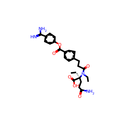 CCN(C(=O)CCc1ccc(C(=O)Oc2ccc(C(=N)N)cc2)cc1)[C@@](CC)(CCC(N)=O)C(=O)O